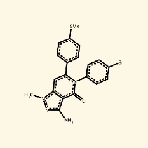 CSc1ccc(-c2cc3c(c(N)nn3C)c(=O)n2-c2ccc(Br)cc2)cc1